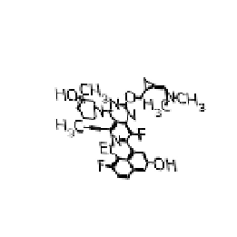 CC#Cc1nc(-c2cc(O)cc3ccc(F)c(CC)c23)c(F)c2nc(OCC3CC3=CN(C)C)nc(N3CCC[C@@](C)(O)C3)c12